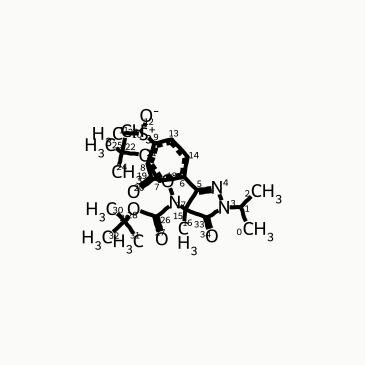 CC(C)N1N=C(c2ccc([S+](C)[O-])cc2)C(C)(N(OC(=O)OC(C)(C)C)C(=O)OC(C)(C)C)C1=O